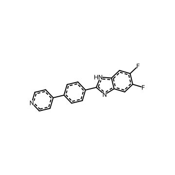 Fc1cc2nc(-c3ccc(-c4ccncc4)cc3)[nH]c2cc1F